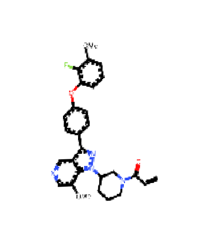 C=CC(=O)N1CCCC(n2nc(-c3ccc(Oc4cccc(OC)c4F)cc3)c3cncc(OC)c32)C1